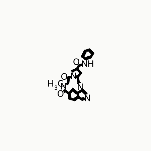 CN(CC(=O)N1CC(C(=O)Nc2ccccc2)CC1C#N)C(=O)c1ccc2cnccc2c1